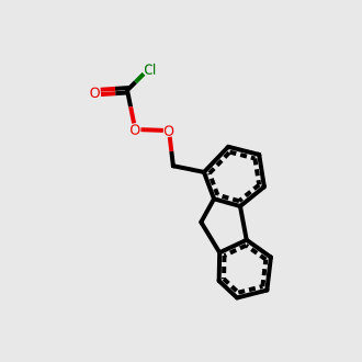 O=C(Cl)OOCc1cccc2c1Cc1ccccc1-2